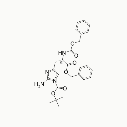 CC(C)(C)OC(=O)n1cc(C[C@H](NC(=O)OCc2ccccc2)C(=O)OCc2ccccc2)nc1N